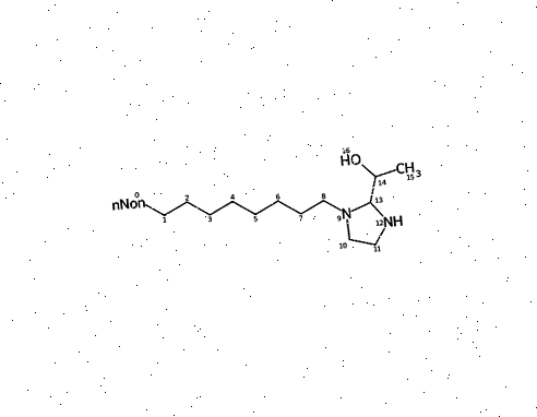 CCCCCCCCCCCCCCCCCN1CCNC1C(C)O